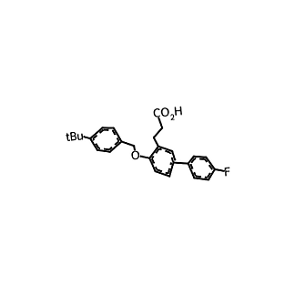 CC(C)(C)c1ccc(COc2ccc(-c3ccc(F)cc3)cc2CCC(=O)O)cc1